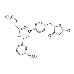 COc1cccc(C(COc2ccc(CC3SC(=O)CC3=O)cc2)OC(=O)CCC(=O)O)c1